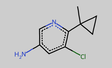 CC1(c2ncc(N)cc2Cl)CC1